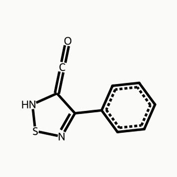 O=C=C1NSN=C1c1ccccc1